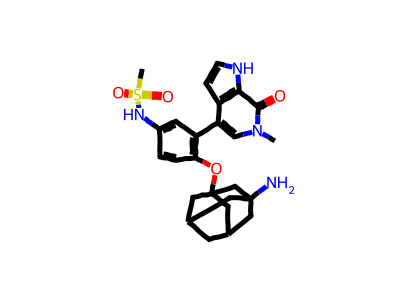 Cn1cc(-c2cc(NS(C)(=O)=O)ccc2OC23CC4CC(CC(N)(C4)C2)C3)c2cc[nH]c2c1=O